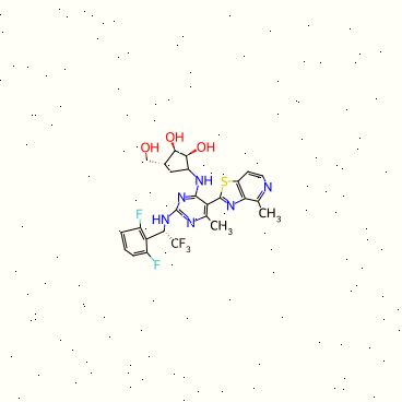 Cc1nc(N[C@@H](c2c(F)cccc2F)C(F)(F)F)nc(NC2C[C@H](CO)[C@@H](O)[C@H]2O)c1-c1nc2c(C)nccc2s1